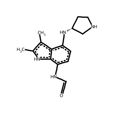 Cc1[nH]c2c(NC=O)ccc(N[C@@H]3CCNC3)c2c1C